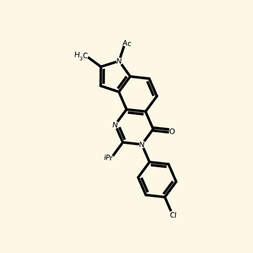 CC(=O)n1c(C)cc2c3nc(C(C)C)n(-c4ccc(Cl)cc4)c(=O)c3ccc21